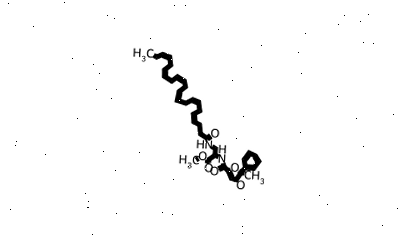 CC/C=C\C/C=C\C/C=C\C/C=C\C/C=C\C/C=C\CCC(=O)NCC(NC(=O)C1=CC(=O)C(C)(c2ccccc2)O1)C(=O)OC